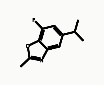 Cc1nc2cc(C(C)C)cc(F)c2o1